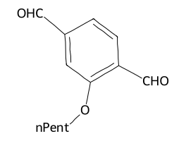 CCCCCOc1cc(C=O)ccc1C=O